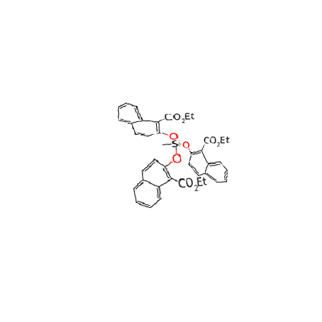 CCOC(=O)c1c(O[Si](C)(Oc2ccc3ccccc3c2C(=O)OCC)Oc2ccc3ccccc3c2C(=O)OCC)ccc2ccccc12